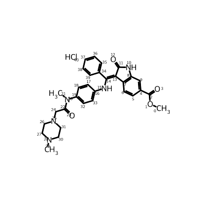 COC(=O)c1ccc2c(c1)NC(=O)C2=C(Nc1ccc(N(C)C(=O)CN2CCN(C)CC2)cc1)c1ccccc1.Cl